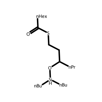 CCCCCCC(=O)SCCC(CCC)O[SiH](CCCC)CCCC